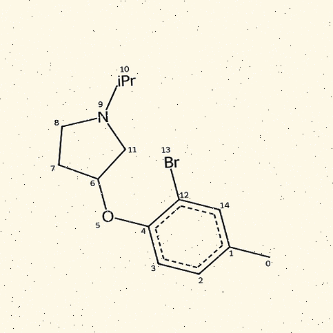 Cc1ccc(OC2CCN(C(C)C)C2)c(Br)c1